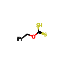 CC(C)COC(=S)S